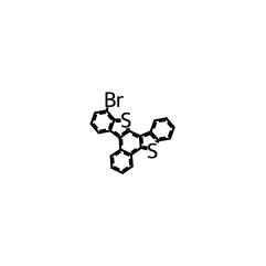 Brc1cccc2c1sc1c2c2ccccc2c2sc3ccccc3c21